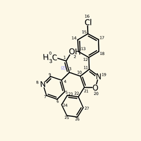 C/C(O)=C(\c1cccnc1)c1c(-c2ccc(Cl)cc2)noc1C1=CCCC=C1